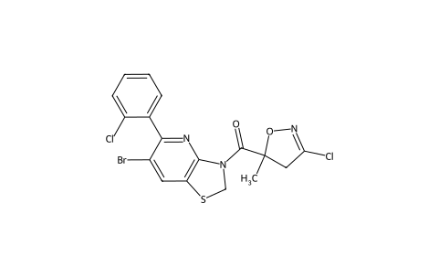 CC1(C(=O)N2CSc3cc(Br)c(-c4ccccc4Cl)nc32)CC(Cl)=NO1